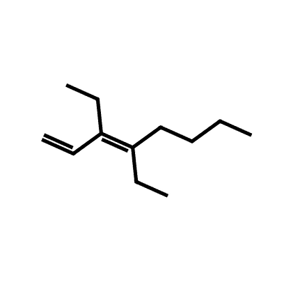 C=C/C(CC)=C(\CC)CCCC